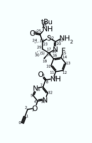 C#CCOc1cnc(C(=O)Nc2ccc(F)c([C@@]3(C)N=C(N)S[C@](C)(C(=O)NC(C)(C)C)[C@H]3C)c2)cn1